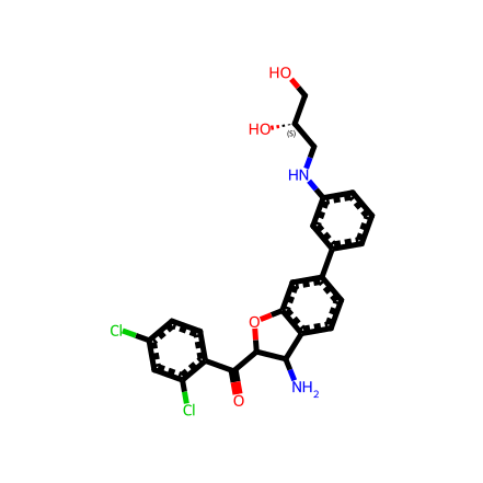 NC1c2ccc(-c3cccc(NC[C@H](O)CO)c3)cc2OC1C(=O)c1ccc(Cl)cc1Cl